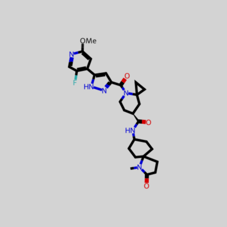 COc1cc(-c2cc(C(=O)N3CC[C@H](C(=O)NC4CCC5(CCC(=O)N5C)CC4)CC34CC4)n[nH]2)c(F)cn1